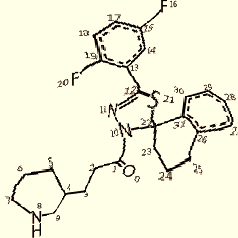 O=C(CCC1CCCNC1)N1N=C(c2cc(F)ccc2F)SC12CCCc1ccccc12